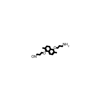 CC1=CC=C2C(OCCCN=O)=C(C)CCC2C1OCCCN